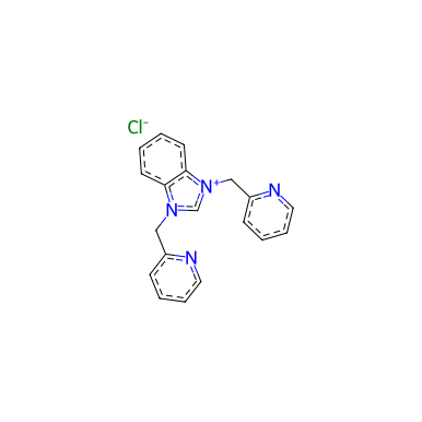 [Cl-].c1ccc(Cn2c[n+](Cc3ccccn3)c3ccccc32)nc1